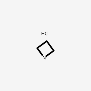 C1C[N]C1.Cl